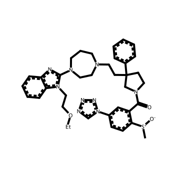 CCOCCn1c(N2CCCN(CCC3(c4ccccc4)CCN(C(=O)c4cc(-n5cnnn5)ccc4[S+](C)[O-])C3)CC2)nc2ccccc21